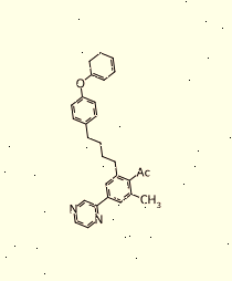 CC(=O)c1c(C)cc(-c2cnccn2)cc1CCCCc1ccc(OC2=CC=CCC2)cc1